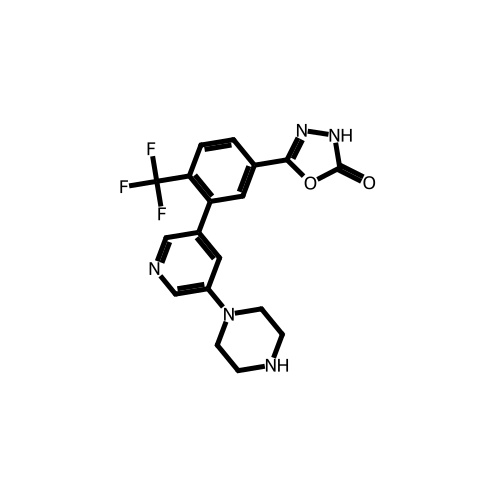 O=c1[nH]nc(-c2ccc(C(F)(F)F)c(-c3cncc(N4CCNCC4)c3)c2)o1